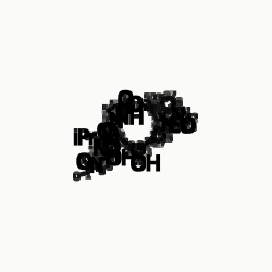 C=CC(=O)N1CC[C@](O)(C(=O)N(C)[C@H](C(=O)N[C@H]2Cc3cc(O)cc(c3)-c3ccc4c(c3)c(c(-c3ccccc3N3CCOCC3)n4CC)CC(C)(C)COC(=O)[C@@H]3CCCN(N3)C2=O)C(C)C)C1